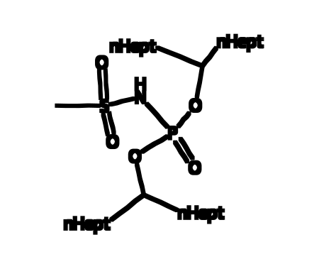 CCCCCCCC(CCCCCCC)OP(=O)(NS(C)(=O)=O)OC(CCCCCCC)CCCCCCC